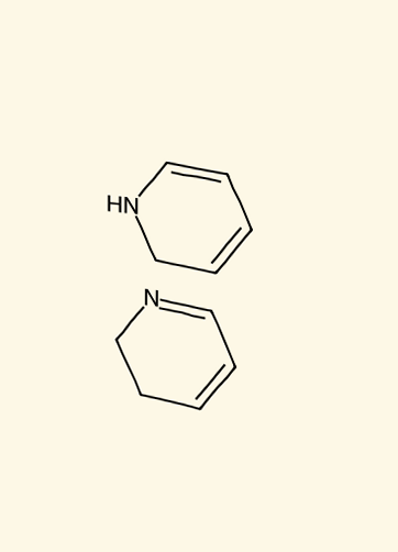 C1=CCCN=C1.C1=CCNC=C1